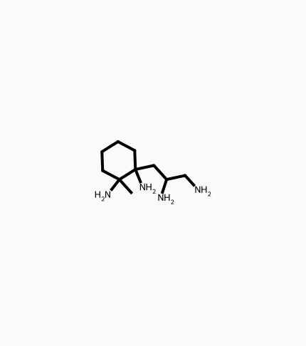 CC1(N)CCCCC1(N)CC(N)CN